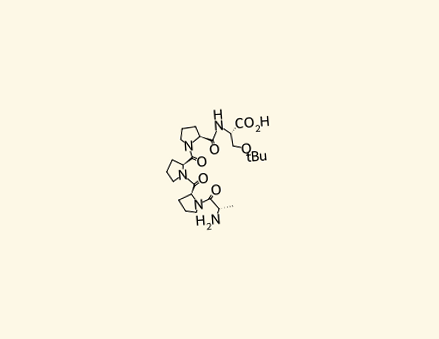 C[C@H](N)C(=O)N1CCC[C@H]1C(=O)N1CCC[C@H]1C(=O)N1CCC[C@H]1C(=O)N[C@@H](COC(C)(C)C)C(=O)O